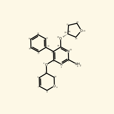 Nc1nc(OC2C=CCOC2)c(-c2ccccc2)c(O[C@@H]2CCOC2)n1